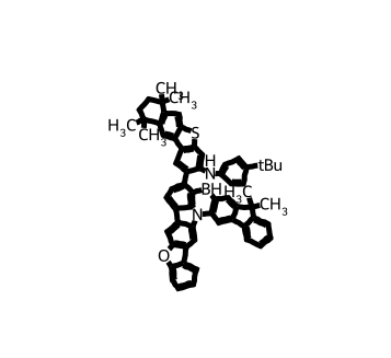 CC(C)(C)c1ccc(Nc2cc3sc4cc5c(cc4c3cc2-c2ccc3c4cc6oc7ccccc7c6cc4n4c3c2Bc2cc3c(cc2-4)-c2ccccc2C3(C)C)C(C)(C)CCC5(C)C)cc1